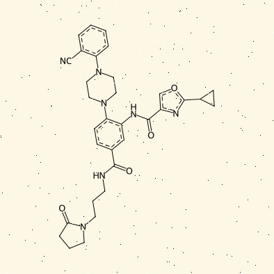 N#Cc1ccccc1N1CCN(c2ccc(C(=O)NCCCN3CCCC3=O)cc2NC(=O)c2coc(C3CC3)n2)CC1